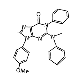 COc1ccc(-n2[c]nc3c(=O)n(-c4ccccc4)c(N(C)c4ccccc4)nc32)cc1